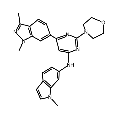 Cc1nn(C)c2cc(-c3cc(Nc4ccc5ccn(C)c5c4)nc(N4CCOCC4)n3)ccc12